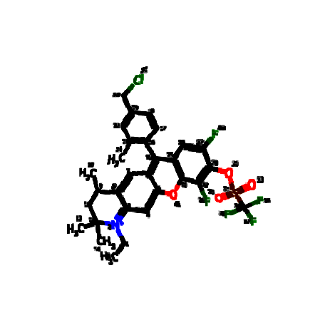 CC[N+]1=c2cc3c(cc2C(C)CC1(C)C)=C(c1ccc(CCl)cc1C)c1cc(F)c(OS(=O)(=O)C(F)(F)F)c(F)c1O3